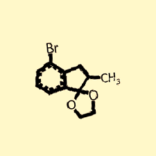 CC1Cc2c(Br)cccc2C12OCCO2